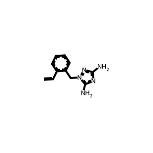 C=Cc1ccccc1Cn1nc(N)nc1N